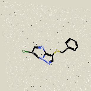 Clc1cnc2c(SCc3ccccc3)cnn2c1